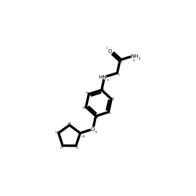 NC(=O)CNc1ccc(OC2CCCC2)cc1